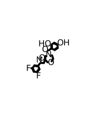 O=C(c1ccc(O)cc1O)N1CCOCC2(CC(c3cc(F)cc(F)c3)=NO2)C1